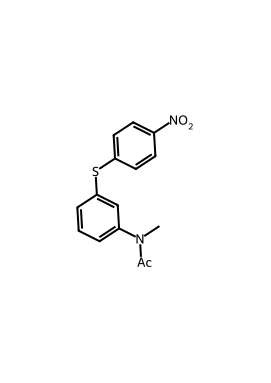 CC(=O)N(C)c1cccc(Sc2ccc([N+](=O)[O-])cc2)c1